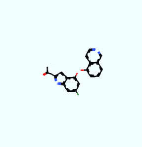 COC(=O)c1cc2c(Oc3cccc4cnccc34)cc(Cl)cc2[nH]1